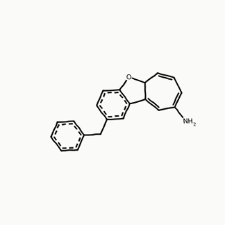 NC1=CC=CC2Oc3ccc(Cc4ccccc4)cc3C2=C1